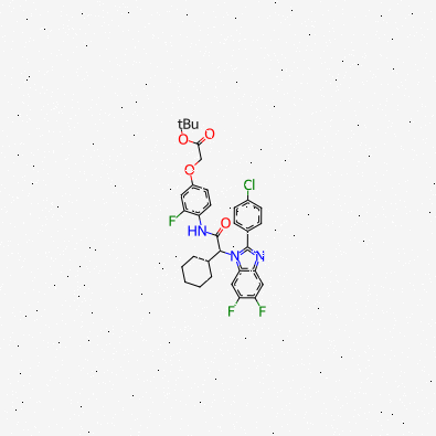 CC(C)(C)OC(=O)COc1ccc(NC(=O)C(C2CCCCC2)n2c(-c3ccc(Cl)cc3)nc3cc(F)c(F)cc32)c(F)c1